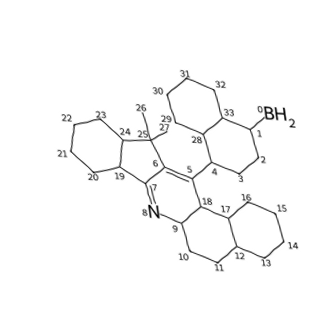 BC1CCC(C2=C3C(=NC4CCC5CCCCC5C24)C2CCCCC2C3(C)C)C2CCCCC12